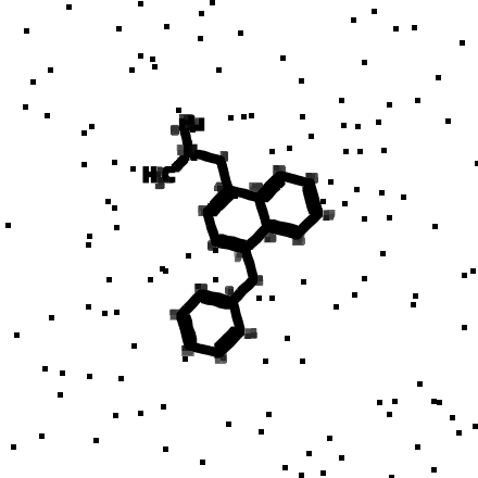 CCC(C)N(C)Cc1ccc(Cc2ccccc2)c2ccccc12